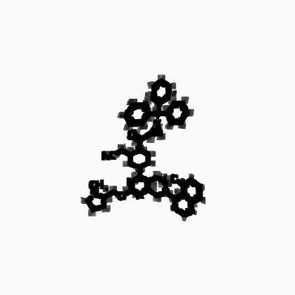 Cc1cccc2cccc(N3CCc4c(nc(OCC5CCCN5C)nc4N4CCN(C(=O)C5C[N@@]5C(c5ccccc5)(c5ccccc5)c5ccccc5)C(CC#N)C4)C3)c12